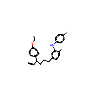 C=CC(CCCc1ccc(F)c(Nc2ccc(F)cc2)c1)c1ccc(OCC)cc1